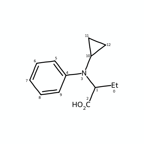 CCC(C(=O)O)N(c1ccccc1)C1CC1